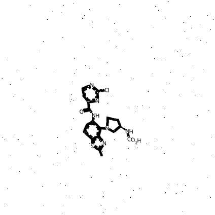 Cc1nc2c(N3CC[C@@H](NC(=O)O)C3)c(NC(=O)c3ccnc(Cl)n3)ccc2s1